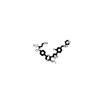 CC(CCO)[S+]([O-])c1ccc(-c2cnc(N)c(-c3cc(-c4ccc(CNC5CCOC5)cc4F)no3)n2)cc1